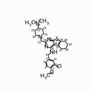 COc1ccc(CNc2nc(CN3CCC(N(C)C)CC3)nc3sc4c(c23)CCCC4)cc1Cl